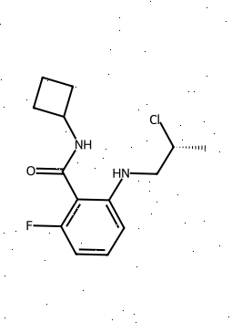 C[C@@H](Cl)CNc1cccc(F)c1C(=O)NC1CCC1